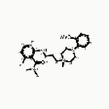 COc1ccccc1N1CC[N+](C)(CCCNc2nccc(I)c2C(=O)N(C)C)CC1